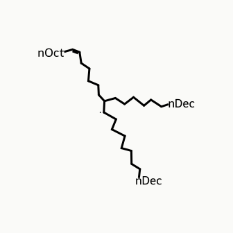 CCCCCCCC/C=C\CCCCCC([CH]CCCCCCCCCCCCCCCCC)CCCCCCCCCCCCCCCC